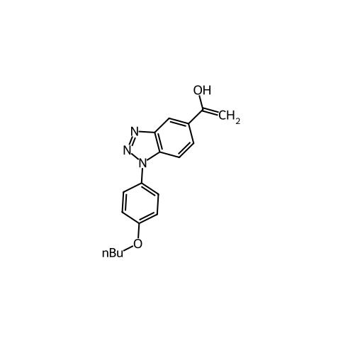 C=C(O)c1ccc2c(c1)nnn2-c1ccc(OCCCC)cc1